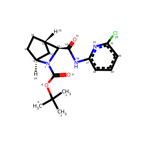 CC(C)(C)OC(=O)N1[C@H]2CC[C@@H](C2)[C@H]1C(=O)Nc1cccc(Cl)n1